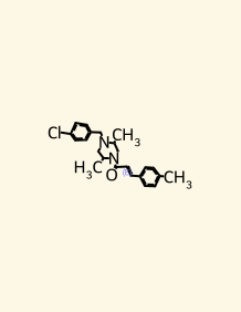 Cc1ccc(/C=C/C(=O)N2CC(C)N(Cc3ccc(Cl)cc3)CC2C)cc1